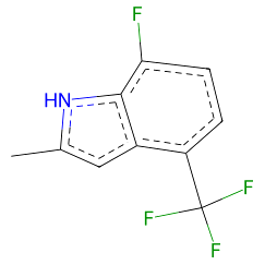 Cc1cc2c(C(F)(F)F)ccc(F)c2[nH]1